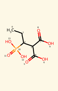 CCC(C(C(=O)O)C(=O)O)P(=O)(O)O